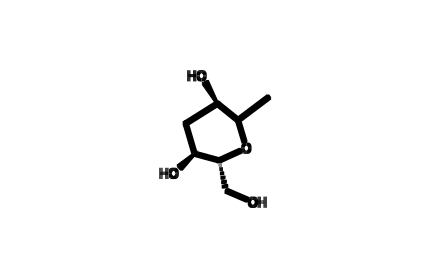 CC1O[C@H](CO)[C@@H](O)C[C@H]1O